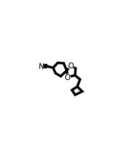 N#CC1CCC2(CC1)OCC(CC1CCC1)O2